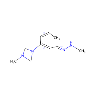 C\C=C/C(=C\C=N\NC)N1CN(C)C1